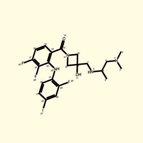 CC(CN(C)C)NCC1(O)CN(C(=O)c2ccc(F)c(F)c2Nc2ccc(I)cc2F)C1